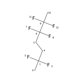 CC(F)(F)CCC(F)(F)C(C)(F)F